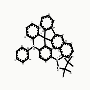 CC1(C)OB(c2ccc3c(c2)C2(c4ccccc4-c4cc5ccccc5cc42)c2ccccc2N3c2ccccc2)OC1(C)C